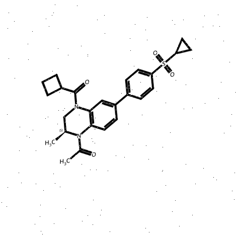 CC(=O)N1c2ccc(-c3ccc(S(=O)(=O)C4CC4)cc3)cc2N(C(=O)C2CCC2)C[C@@H]1C